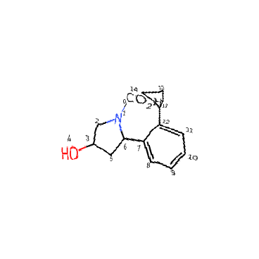 O=C(O)N1CC(O)CC1c1ccccc1C1CC1